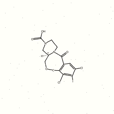 O=C(O)N1CCN2C(=O)c3cc(Cl)c(I)c(Cl)c3COC[C@H]2C1